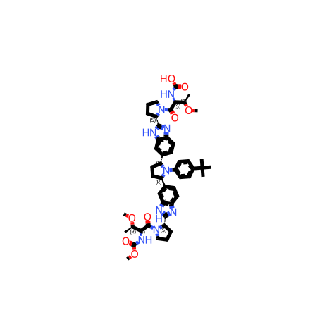 COC(=O)N[C@H](C(=O)N1CCC[C@H]1c1nc2ccc([C@H]3CC[C@H](c4ccc5nc([C@@H]6CCCN6C(=O)[C@@H](NC(=O)O)[C@@H](C)OC)[nH]c5c4)N3c3ccc(C(C)(C)C)cc3)cc2[nH]1)[C@@H](C)OC